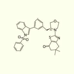 CC1(C)CC(=O)c2sc(N3CCOC[C@@H]3Cc3cccc(-c4cn(S(=O)(=O)c5ccccc5)c5ccccc45)c3)nc2C1